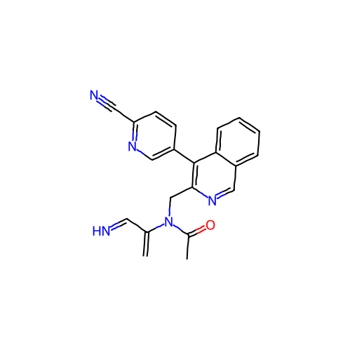 C=C(C=N)N(Cc1ncc2ccccc2c1-c1ccc(C#N)nc1)C(C)=O